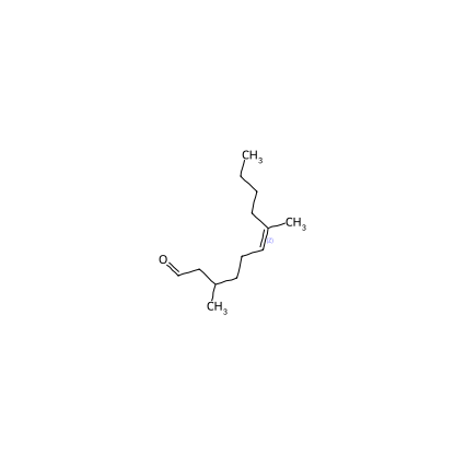 CCCC/C(C)=C\CCC(C)CC=O